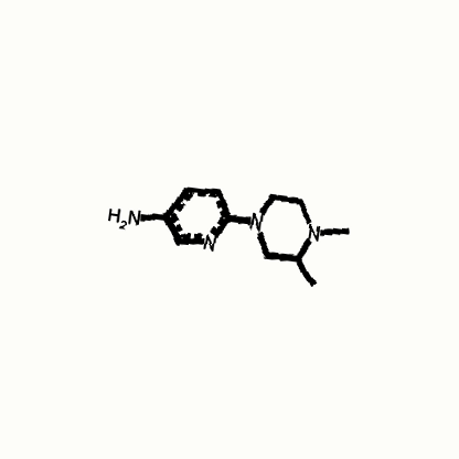 CC1CN(c2ccc(N)cn2)CCN1C